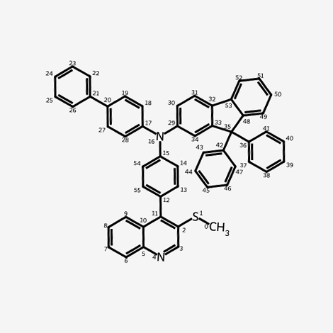 CSc1cnc2ccccc2c1-c1ccc(N(c2ccc(-c3ccccc3)cc2)c2ccc3c(c2)C(c2ccccc2)(c2ccccc2)c2ccccc2-3)cc1